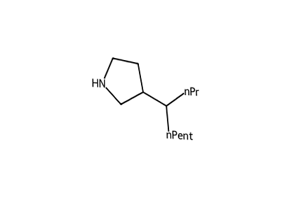 CCCCCC(CCC)C1CCNC1